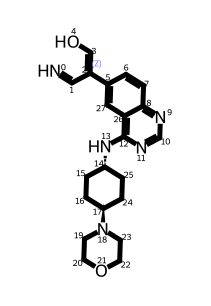 N=C/C(=C\O)c1ccc2ncnc(N[C@H]3CC[C@H](N4CCOCC4)CC3)c2c1